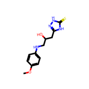 COc1ccc(NCC(O)Cc2n[nH]c(=S)[nH]2)cc1